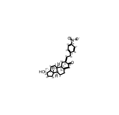 C[C@]12CC[C@H]3[C@@H](CCC4=CC(=O)C(=CCc5ccc([N+](=O)[O-])cc5)C[C@@]43C)[C@@H]1CC[C@@H]2O